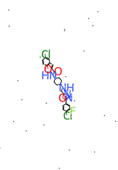 O=C(N[C@H]1CC[C@H](NCc2nnc(-c3ccc(Cl)c(F)c3)o2)CC1)c1cc2cc(Cl)ccc2o1